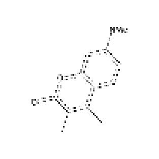 CNc1ccc2c(C)c(C)c(=O)oc2c1